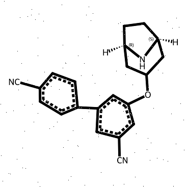 N#Cc1ccc(-c2cc(C#N)cc(OC3C[C@H]4CC[C@@H](C3)N4)c2)cc1